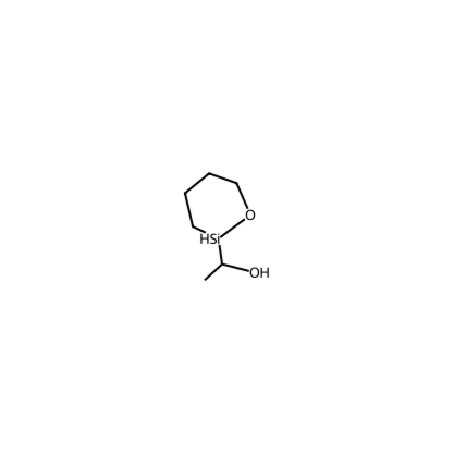 CC(O)[SiH]1CCCCO1